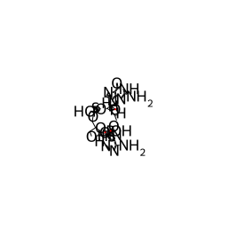 Nc1nc2c(ncn2[C@@H]2O[C@@H]3COP(O)(=S)O[C@H]4[C@H]5OCC4(COP(O)(=S)O[C@@H]2[C@H]3F)O[C@H]5n2cnc3c(N)ncnc32)c(=O)[nH]1